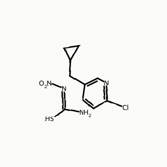 Clc1ccc(CC2CC2)cn1.NC(S)=N[N+](=O)[O-]